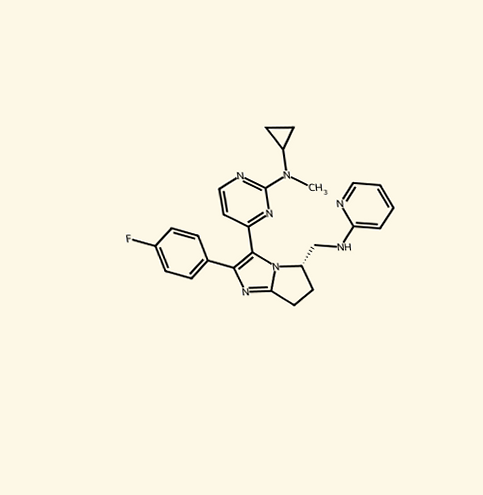 CN(c1nccc(-c2c(-c3ccc(F)cc3)nc3n2[C@H](CNc2ccccn2)CC3)n1)C1CC1